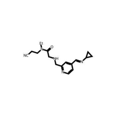 CCN(CCC#N)C(=O)CNCc1cc(C=NC2CC2)ccn1